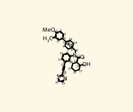 COc1ccc(C23CCC(CN(C(=O)C4CCCCC4O)c4cccc(C#Cc5nccs5)c4)(CC2)CC3)cc1C